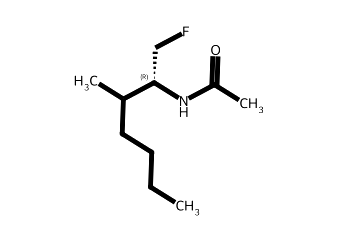 CCCCC(C)[C@H](CF)NC(C)=O